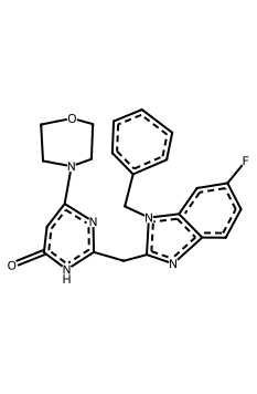 O=c1cc(N2CCOCC2)nc(Cc2nc3ccc(F)cc3n2Cc2ccccc2)[nH]1